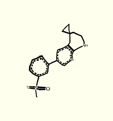 CS(=O)(=O)c1cccc(-c2cnc3c(c2)C2(CC2)CN3)c1